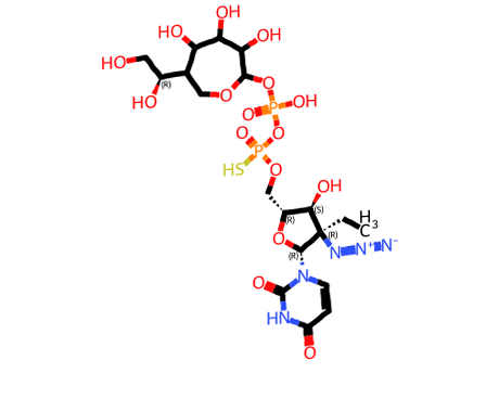 CC[C@@]1(N=[N+]=[N-])[C@H](O)[C@@H](COP(=O)(S)OP(=O)(O)OC2OCC([C@@H](O)CO)C(O)C(O)C2O)O[C@H]1n1ccc(=O)[nH]c1=O